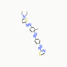 CCN(CC)c1ccc(/N=N/c2ccc(/N=N/c3ccc(/N=N/c4nccs4)cc3)c(C)c2)s1